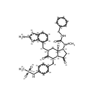 CN(C(=O)NCc1ccccc1)N1CC(=O)N2[C@@H](Cc3ccc(NS(C)(=O)=O)cc3)C(=O)N(Cc3cccc4sc(N)nc34)C[C@@H]21